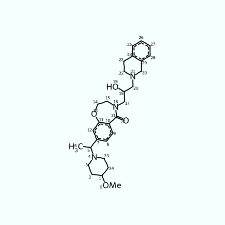 COC1CCN(C(C)c2ccc3c(c2)OCCN(CC(O)CN2CCc4ccccc4C2)C3=O)CC1